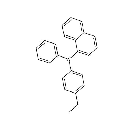 CCc1ccc(N(c2ccccc2)c2cccc3ccccc23)cc1